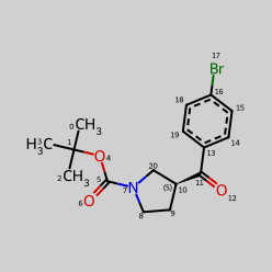 CC(C)(C)OC(=O)N1CC[C@H](C(=O)c2ccc(Br)cc2)C1